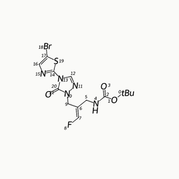 CC(C)(C)OC(=O)NC/C(=C/F)Cn1ncn(-c2ncc(Br)s2)c1=O